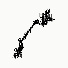 CC(NC(=O)c1cccc(NC2(C(=N)NC(=N)c3ccncc3)CCNCC2)c1)c1cccc(OCCCCCCOCCOCCOCCC(=O)N2CCN(c3cc4c(cc3F)C(=O)N(C3CCC(=O)NC3=O)C4=O)CC2)c1